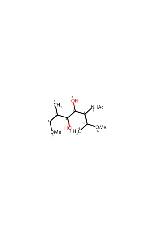 COCC(C)C(O)C(O)C(NC(C)=O)C(C)OC